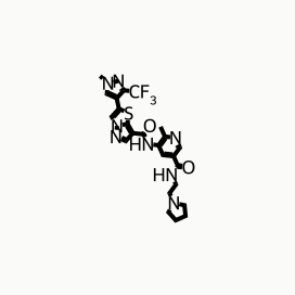 Cc1ncc(C(=O)NCCN2CCCC2)cc1NC(=O)c1cnn2cc(-c3cn(C)nc3C(F)(F)F)sc12